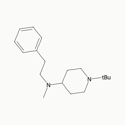 CN(CCc1ccccc1)C1CCN(C(C)(C)C)CC1